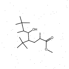 COC(=O)C(C)CC(C(O)C(C)C(C)(C)C)C(C)(C)C